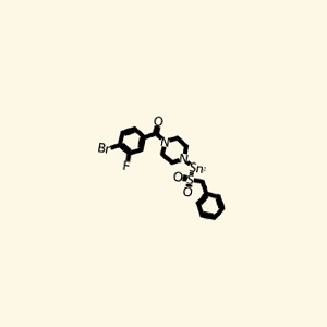 O=C(c1ccc(Br)c(F)c1)N1CC[N]([Sn][S](=O)(=O)Cc2ccccc2)CC1